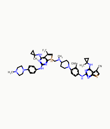 COc1cc(Nc2nc(NC3(C)CC3)c3c(C#N)csc3n2)ccc1N1CCC(N(C)C[SH]2C=C(C(F)(F)F)c3c(NC4(C)CC4)nc(Nc4ccc(N5CCN(C)CC5)cc4)nc32)CC1